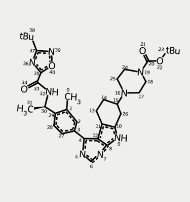 Cc1cc(-c2ncnc3[nH]c4c(c23)CCC(N2CCN(C(=O)OC(C)(C)C)CC2)C4)ccc1[C@@H](C)NC(=O)c1nc(C(C)(C)C)no1